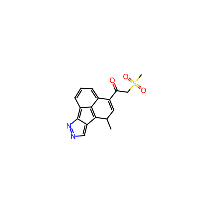 CC1C=C(C(=O)CS(C)(=O)=O)c2cccc3c2=C1C1=CN=NC=31